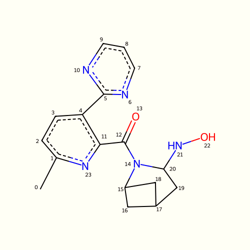 Cc1ccc(-c2ncccn2)c(C(=O)N2C3CC(C3)CC2NO)n1